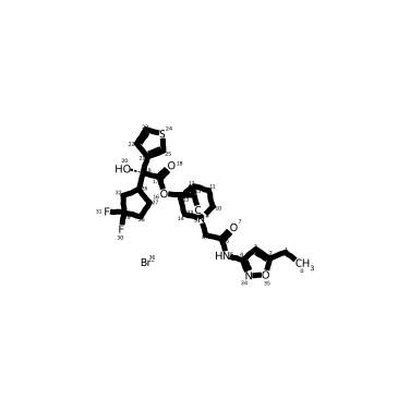 CCc1cc(NC(=O)C[N+]23CCC(CC2)C(OC(=O)[C@](O)(c2ccsc2)C2CCC(F)(F)C2)C3)no1.[Br-]